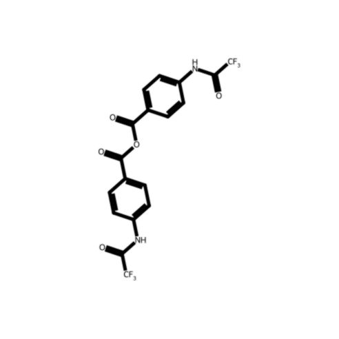 O=C(OC(=O)c1ccc(NC(=O)C(F)(F)F)cc1)c1ccc(NC(=O)C(F)(F)F)cc1